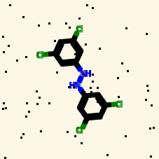 Clc1cc(Cl)cc(NNc2cc(Cl)cc(Cl)c2)c1